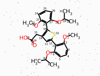 COc1cccc(OC(C)C)c1-c1cc(CC(=O)O)c(-c2c(OC)cccc2OC(C)C)s1